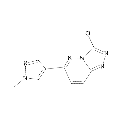 Cn1cc(-c2ccc3nnc(Cl)n3n2)cn1